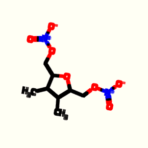 CC1C(CO[N+](=O)[O-])OC(CO[N+](=O)[O-])C1C